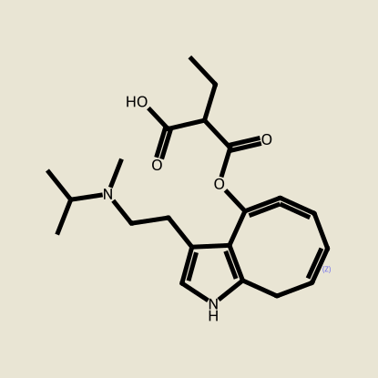 CCC(C(=O)O)C(=O)OC1=C=C/C=C\Cc2[nH]cc(CCN(C)C(C)C)c21